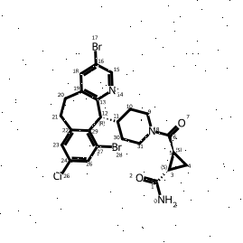 NC(=O)[C@H]1C[C@@H]1C(=O)N1CCC([C@H]2c3ncc(Br)cc3CCc3cc(Cl)cc(Br)c32)CC1